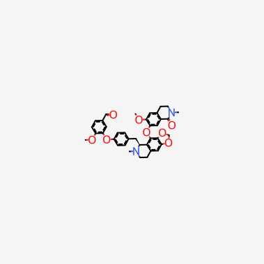 COc1ccc(C=O)cc1Oc1ccc(C[C@H]2c3c(cc4c(c3Oc3cc5c(cc3OC)CCN(C)C5=O)OCO4)CCN2C)cc1